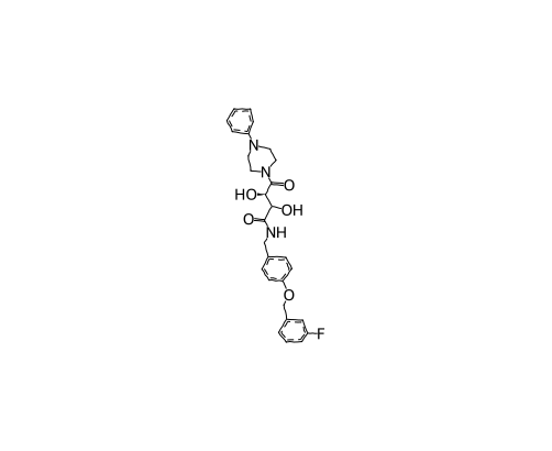 O=C(NCc1ccc(OCc2cccc(F)c2)cc1)C(O)[C@@H](O)C(=O)N1CCN(c2ccccc2)CC1